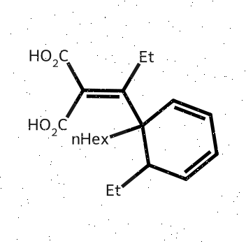 CCCCCCC1(C(CC)=C(C(=O)O)C(=O)O)C=CC=CC1CC